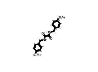 COc1ccc(CNC(=O)C(=O)NCc2ccc(OC)cc2)cc1